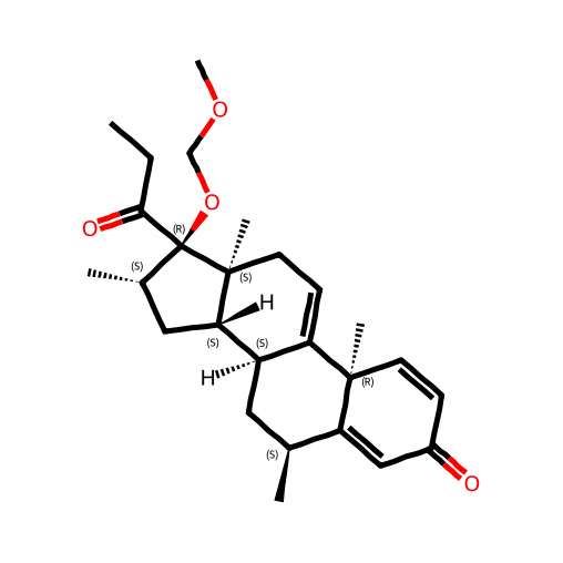 CCC(=O)[C@@]1(OCOC)[C@@H](C)C[C@H]2[C@@H]3C[C@H](C)C4=CC(=O)C=C[C@]4(C)C3=CC[C@@]21C